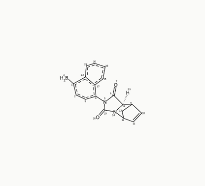 Bc1ccc(N2C(=O)[C@H]3C4C=CC(C4)N3C2=O)c2ccccc12